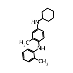 Cc1ccccc1Nc1ccc(NC2CCCCC2)cc1C